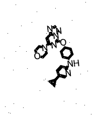 c1nc2cc(N3CCOCC3)nc(O[C@H]3CC[C@@H](Nc4ccc(C5CC5)cn4)CC3)n2n1